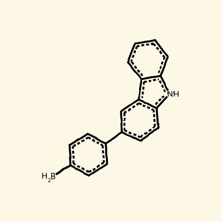 Bc1ccc(-c2ccc3[nH]c4ccccc4c3c2)cc1